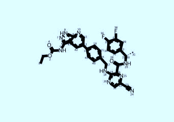 CCOC(=O)Nc1n[nH]c2ncc(-c3ccc(CNc4ncc(C#N)nc4C(=O)N[C@@H](C)c4ccc(F)c(F)c4)cc3)cc12